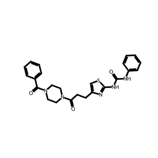 O=C(Nc1ccccc1)Nc1nc(CCC(=O)N2CCN(C(=O)c3ccccc3)CC2)cs1